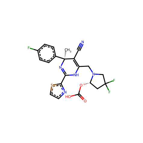 C[C@@]1(c2ccc(F)cc2)N=C(c2nccs2)NC(CN2CC(F)(F)C[C@@H]2OC(=O)O)=C1C#N